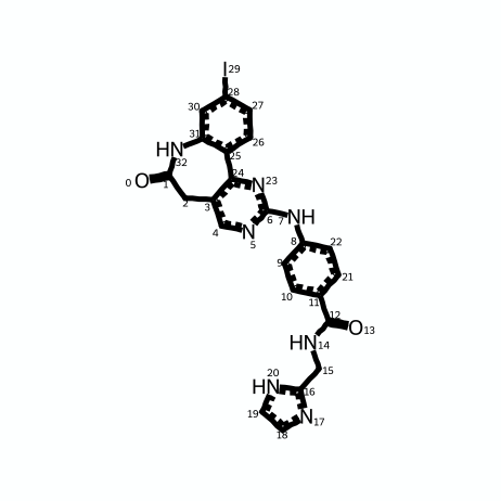 O=C1Cc2cnc(Nc3ccc(C(=O)NCc4ncc[nH]4)cc3)nc2-c2ccc(I)cc2N1